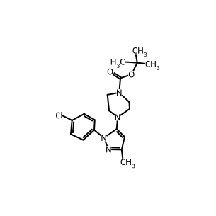 Cc1cc(N2CCN(C(=O)OC(C)(C)C)CC2)n(-c2ccc(Cl)cc2)n1